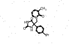 Cc1cccn(CC2(c3ccc(C(C)C)cc3)NC(=O)NC2=O)c1=O